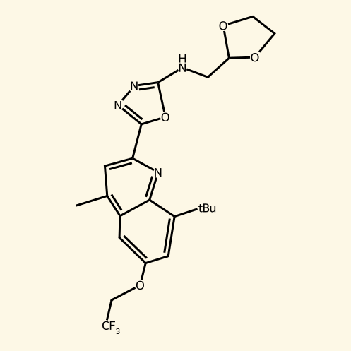 Cc1cc(-c2nnc(NCC3OCCO3)o2)nc2c(C(C)(C)C)cc(OCC(F)(F)F)cc12